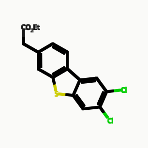 CCOC(=O)Cc1ccc2c(c1)sc1cc(Cl)c(Cl)cc12